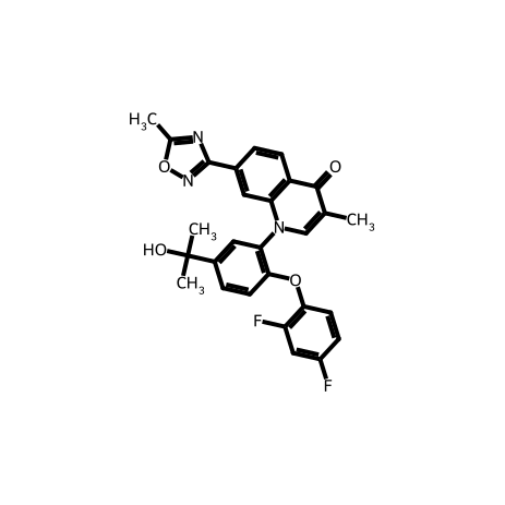 Cc1nc(-c2ccc3c(=O)c(C)cn(-c4cc(C(C)(C)O)ccc4Oc4ccc(F)cc4F)c3c2)no1